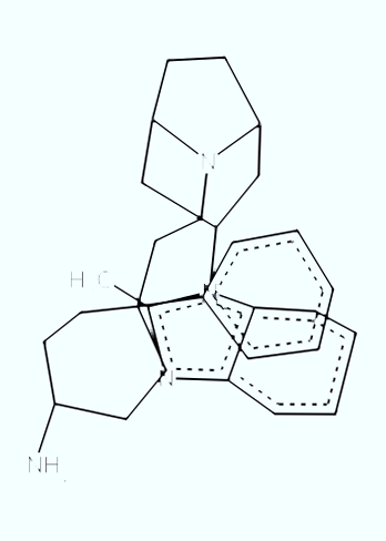 Cc1nc2ccccc2n1C1CC2CCC(C1)N2CCC1(c2ccccc2)CCC(N)CC1